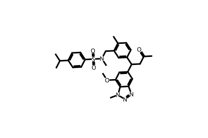 COc1cc(C(CC(C)=O)c2ccc(C)c(CN(C)S(=O)(=O)c3ccc(C(C)C)cc3)c2)cc2nnn(C)c12